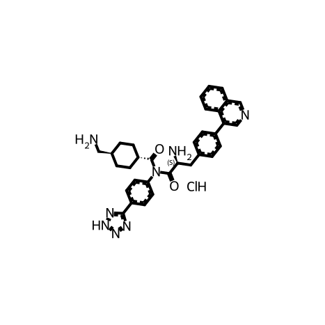 Cl.NC[C@H]1CC[C@H](C(=O)N(C(=O)[C@@H](N)Cc2ccc(-c3cncc4ccccc34)cc2)c2ccc(-c3nn[nH]n3)cc2)CC1